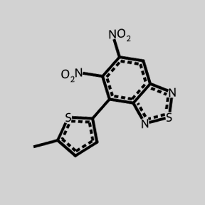 Cc1ccc(-c2c([N+](=O)[O-])c([N+](=O)[O-])cc3nsnc23)s1